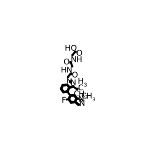 CC(C)c1nn(CC(=O)NCC(=O)NCC(=O)O)c2cccc(-c3cc4c(cnn4C)cc3F)c12